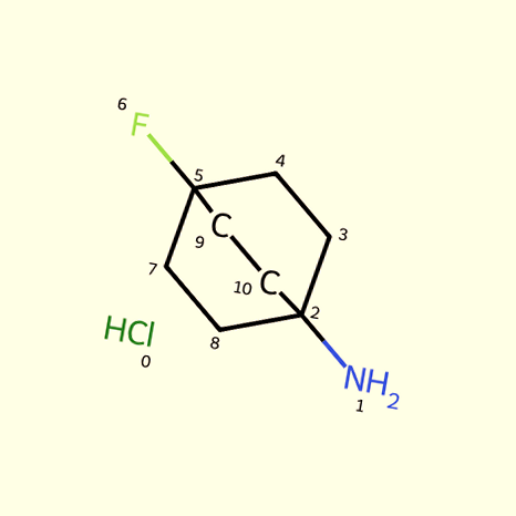 Cl.NC12CCC(F)(CC1)CC2